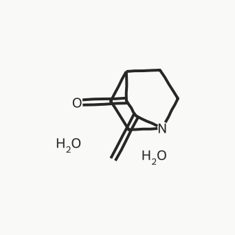 C=C1C(=O)C2CCN1CC2.O.O